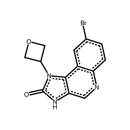 O=c1[nH]c2cnc3ccc(Br)cc3c2n1C1COC1